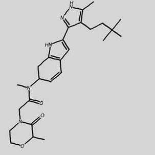 Cc1[nH]nc(-c2cc3c([nH]2)CC(N(C)C(=O)CN2CCOC(C)C2=O)C=C3)c1CCC(C)(C)C